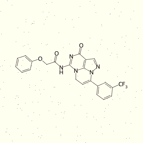 O=C(COc1ccccc1)Nc1nc(=O)c2cnn3c2n1CC=C3c1cccc(C(F)(F)F)c1